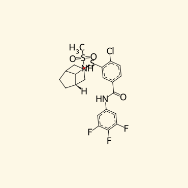 CS(=O)(=O)NC1C2CC[C@H]1C[C@H](Sc1cc(C(=O)Nc3cc(F)c(F)c(F)c3)ccc1Cl)C2